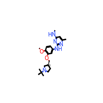 CNc1cc(C)nc(Nc2ccc(OC)c(OC[C@H]3CCN(C(C)(C)C)C3)c2)n1